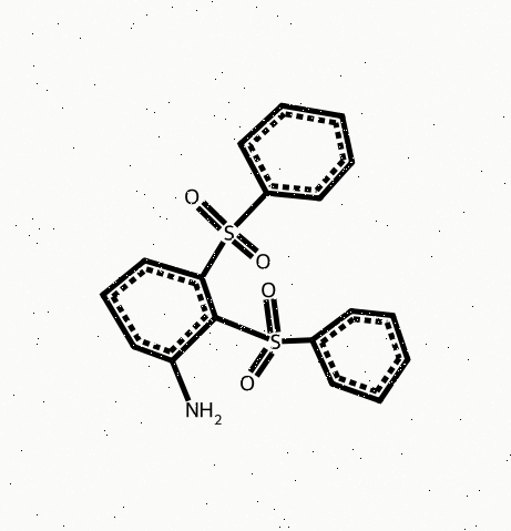 Nc1cccc(S(=O)(=O)c2ccccc2)c1S(=O)(=O)c1ccccc1